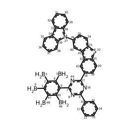 Bc1c(B)c(B)c(-c2nc(-c3ccccc3)nc(-c3ccc4sc5ccc(-n6c7ccccc7c7ccccc76)cc5c4c3)n2)c(B)c1B